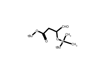 CC(C)(C)OC(=O)CC(C=O)O[Si](C)(C)C(C)(C)C